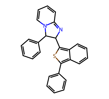 C1=CC2=NC(c3sc(-c4ccccc4)c4ccccc34)C(c3ccccc3)N2C=C1